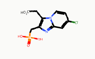 O=C(O)Cc1c(CP(=O)(O)O)nc2cc(Cl)ccn12